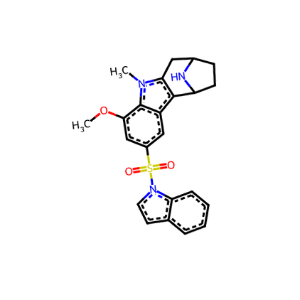 COc1cc(S(=O)(=O)n2ccc3ccccc32)cc2c3c(n(C)c12)CC1CCC3N1